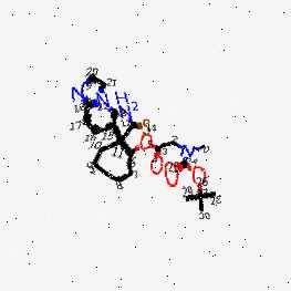 CN(CC(=O)OC1CCCCC1(C(N)=S)c1ccc2nccn2c1)C(=O)OC(C)(C)C